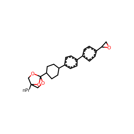 CCCC12COC(C3CCC(c4ccc(-c5ccc(C6CO6)cc5)cc4)CC3)(OC1)O2